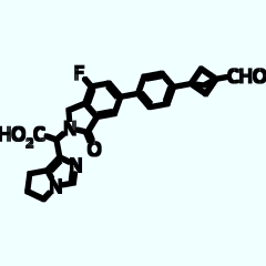 O=CC12CC(c3ccc(-c4cc(F)c5c(c4)C(=O)N(C(C(=O)O)c4ncn6c4CCC6)C5)cc3)(C1)C2